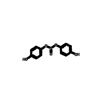 O=S(Oc1ccc(O)cc1)Oc1ccc(O)cc1